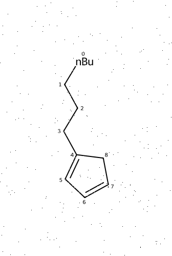 CCCCCCCC1=CC=[C]C1